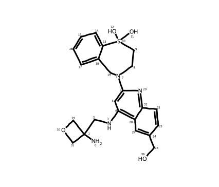 NC1(CNc2cc(N3CCS(O)(O)c4ccccc4C3)nc3ccc(CO)cc23)COC1